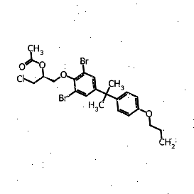 [CH2][CH]COc1ccc(C(C)(C)c2cc(Br)c(OC[C@@H](CCl)OC(C)=O)c(Br)c2)cc1